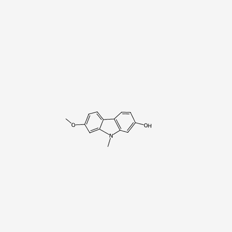 COc1ccc2c3ccc(O)cc3n(C)c2c1